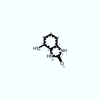 O=c1[nH]c2cccc(S)c2[nH]1